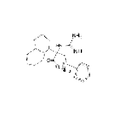 N=C(N)NC(C[C@@H](N)c1ccccc1)(C(=O)O)C1CCCC2CCCCC21